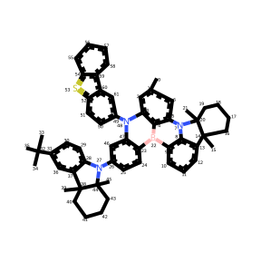 Cc1cc2c3c(c1)N1c4c(cccc4C4(C)CCCCC14C)B3c1ccc(N3c4ccc(C(C)(C)C)cc4C4(C)CCCCC34C)cc1N2c1ccc2sc3ccccc3c2c1